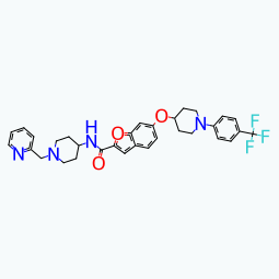 O=C(NC1CCN(Cc2ccccn2)CC1)c1cc2ccc(OC3CCN(c4ccc(C(F)(F)F)cc4)CC3)cc2o1